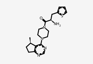 C[C@@H]1CCc2ncnc(N3CCN(C(=O)[C@H](N)Cc4cccs4)CC3)c21